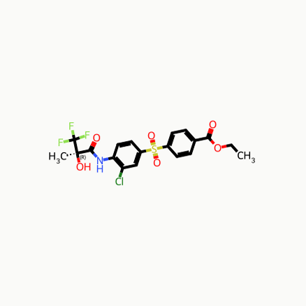 CCOC(=O)c1ccc(S(=O)(=O)c2ccc(NC(=O)[C@@](C)(O)C(F)(F)F)c(Cl)c2)cc1